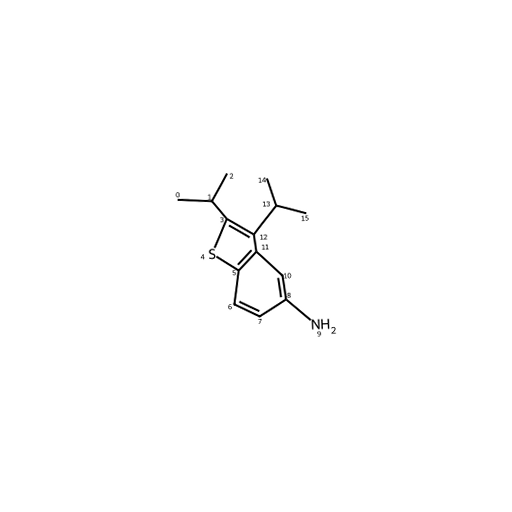 CC(C)c1sc2ccc(N)cc2c1C(C)C